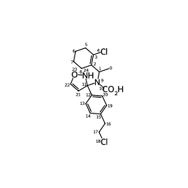 CC(C1=C(Cl)CCCC1)N(C(=O)O)C1(c2ccc(CCCl)cc2)C=CON1